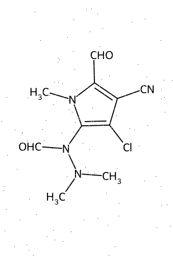 CN(C)N(C=O)c1c(Cl)c(C#N)c(C=O)n1C